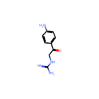 N=C(N)NCC(=O)c1ccc(N)cc1